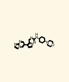 c1cn2cc(-c3ccn4nc(N[C@H]5CC[C@@H](N6CCOCC6)CC5)ncc34)cnc2n1